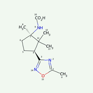 Cc1nc([C@H]2CC[C@@](C)(NC(=O)O)C2(C)C)no1